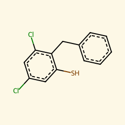 Sc1cc(Cl)cc(Cl)c1Cc1ccccc1